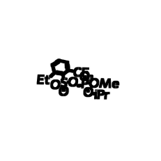 CCc1cccc(C(F)(F)F)c1S(=O)(=O)OCP(=O)(OC)OC(C)C